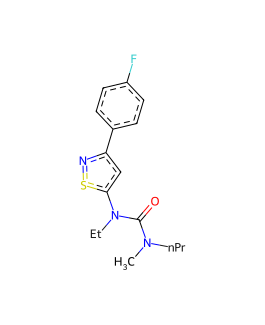 CCCN(C)C(=O)N(CC)c1cc(-c2ccc(F)cc2)ns1